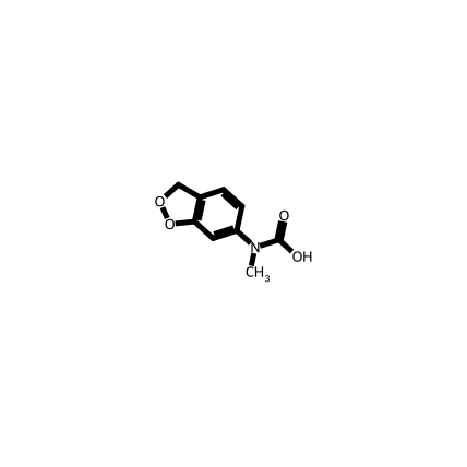 CN(C(=O)O)c1ccc2c(c1)OOC2